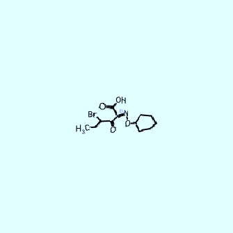 CCC(Br)C(=O)/C(=N\OC1CCCCC1)C(=O)O